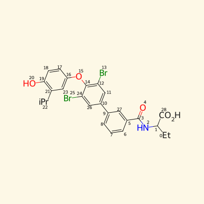 CCC(NC(=O)c1cccc(-c2cc(Br)c(Oc3ccc(O)c(C(C)C)c3)c(Br)c2)c1)C(=O)O